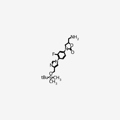 CC(C)(C)[Si](C)(C)OCc1cn(-c2ccc(N3CC(CN)OC3=O)cc2F)cn1